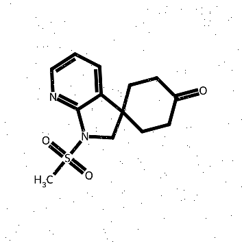 CS(=O)(=O)N1CC2(CCC(=O)CC2)c2cccnc21